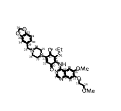 CCSC1=C(Nc2ncnc3cc(OCCOC)c(OC)cc23)C(=O)C=C(N2CCN(Cc3ccc4c(c3)OCO4)CC2)C1=O